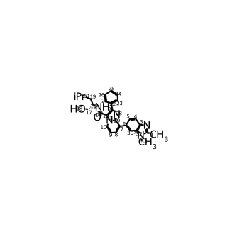 Cc1nc2ccc(-c3cccn4c(C(=O)N[C@H](CO)CC(C)C)c(-c5ccccc5)nc34)cc2n1C